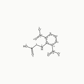 O=C(O)CNc1c([N+](=O)[O-])cccc1[N+](=O)[O-]